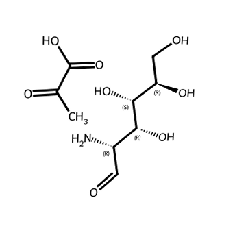 CC(=O)C(=O)O.N[C@@H](C=O)[C@@H](O)[C@H](O)[C@H](O)CO